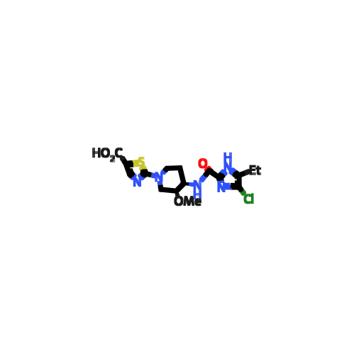 CCc1[nH]c(C(=O)N[C@@H]2CCN(c3ncc(C(=O)O)s3)C[C@@H]2OC)nc1Cl